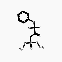 COP(=O)(CC(=O)C(F)(F)Oc1ccccc1)OC